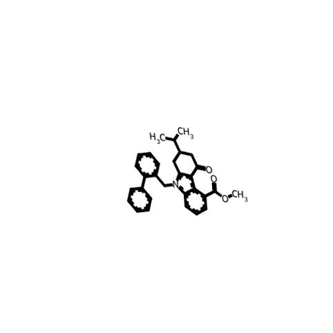 COC(=O)c1cccc2c1c1c(n2Cc2ccccc2-c2ccccc2)CC(C(C)C)CC1=O